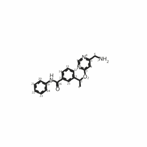 CC(Oc1cc(CN)ncn1)c1cccc(C(=O)Nc2ccccc2)c1